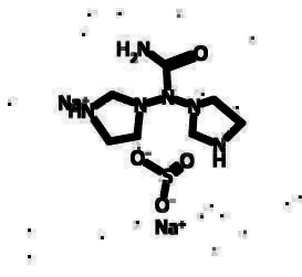 NC(=O)N(N1CCNC1)N1CCNC1.O=S([O-])[O-].[Na+].[Na+]